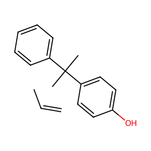 C=CC.CC(C)(c1ccccc1)c1ccc(O)cc1